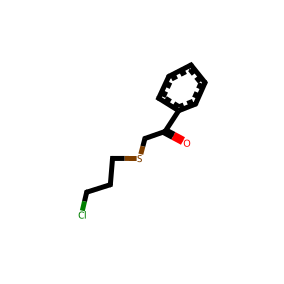 O=C(CSCCCCl)c1ccccc1